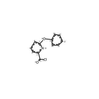 O=C(Cl)c1cccc(Oc2ccccc2)n1